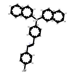 Brc1ccc(/C=C/c2ccc(N(c3ccc4ccccc4c3)c3ccc4ccccc4c3)cc2)cc1